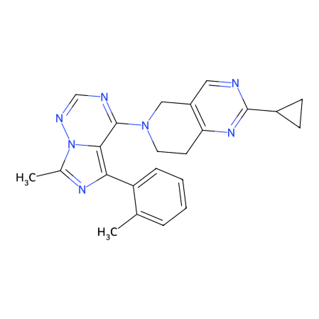 Cc1ccccc1-c1nc(C)n2ncnc(N3CCc4nc(C5CC5)ncc4C3)c12